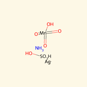 N.O=S(=O)(O)O.[Ag].[O]=[Mn](=[O])(=[O])[OH]